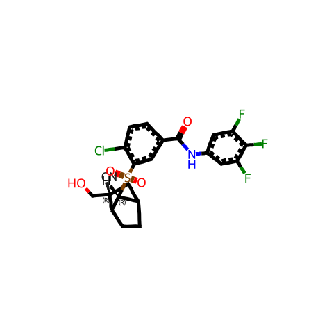 N#C[C@@]1(CO)CC2CCC1[C@@H]2S(=O)(=O)c1cc(C(=O)Nc2cc(F)c(F)c(F)c2)ccc1Cl